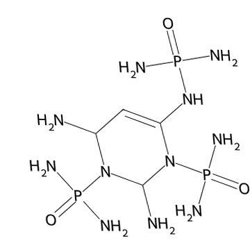 NC1C=C(NP(N)(N)=O)N(P(N)(N)=O)C(N)N1P(N)(N)=O